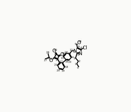 CCCCc1nc(Cl)c(C=O)n1Cc1ccc(-c2ccccc2-c2c(OC(C)C)c(=O)c2=O)cc1